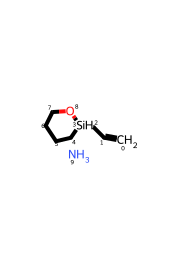 C=CC[SiH]1CCCCO1.N